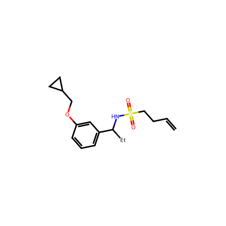 C=CCCS(=O)(=O)NC(CC)c1cccc(OCC2CC2)c1